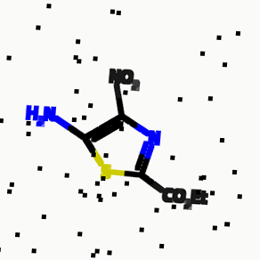 CCOC(=O)c1nc([N+](=O)[O-])c(N)s1